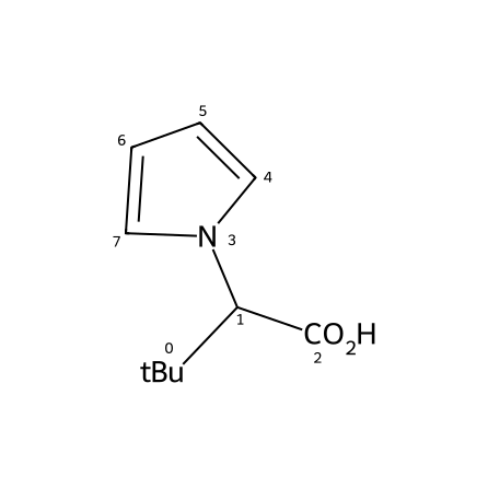 CC(C)(C)C(C(=O)O)n1cccc1